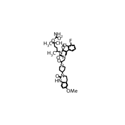 COc1ccc2c(c1)CCN(C1CCN(C(=O)Cn3cc(-c4cccc(F)c4Cl)c(=O)n(C(C)CCC(C)(C)OC(N)=O)c3=O)CC1)C(=O)N2